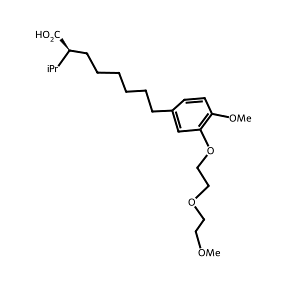 COCCOCCOc1cc(CCCCCC[C@H](C(=O)O)C(C)C)ccc1OC